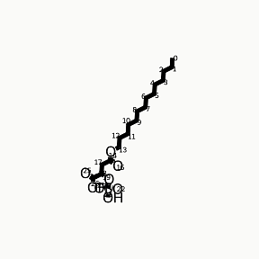 CCCCCCCCCCCCCCOC(=O)CC(OS(=O)(=O)O)C(=O)O